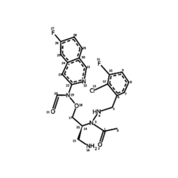 CC(=O)N(NCc1cccc(F)c1Cl)[C@@H](CN)CON(C=O)c1cc2cc(F)ccc2cn1